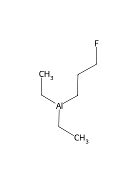 C[CH2][Al]([CH2]C)[CH2]CCF